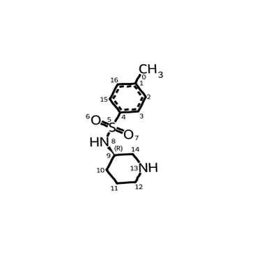 Cc1ccc(S(=O)(=O)N[C@@H]2CCCNC2)cc1